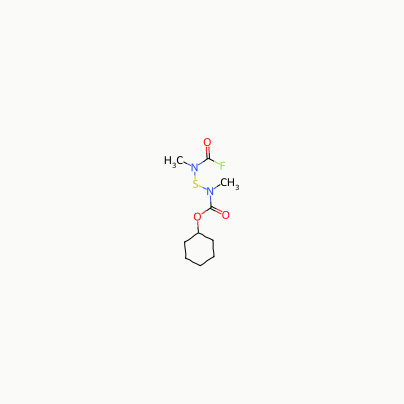 CN(SN(C)C(=O)OC1CCCCC1)C(=O)F